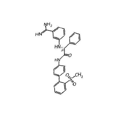 CS(=O)(=O)c1ccccc1-c1ccc(NC(=O)[C@H](Nc2cccc(C(=N)N)c2)c2ccccc2)cc1